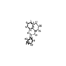 c1cc2c3c(c1)CC(n1ccnc1)CC3CCC2